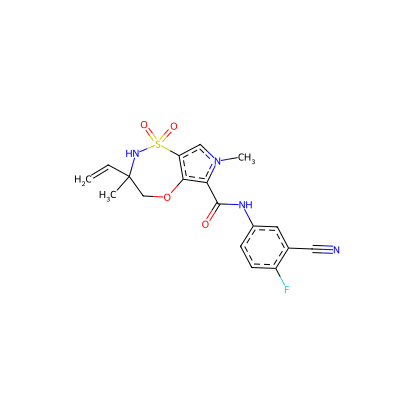 C=CC1(C)COc2c(cn(C)c2C(=O)Nc2ccc(F)c(C#N)c2)S(=O)(=O)N1